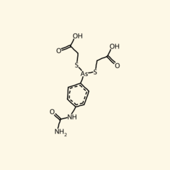 NC(=O)Nc1ccc([As](SCC(=O)O)SCC(=O)O)cc1